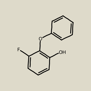 Oc1cccc(F)c1Oc1ccccc1